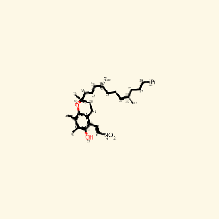 Cc1c(C)c2c(c(C=C[N+](=O)[O-])c1O)CCC(C)(CCC[C@H](C)CCC[C@H](C)CCCC(C)C)O2